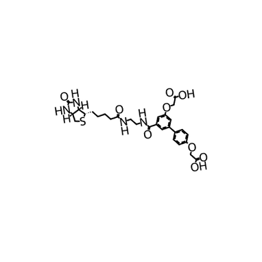 O=C(O)COc1ccc(-c2cc(OCC(=O)O)cc(C(=O)NCCNC(=O)CCCC[C@@H]3SC[C@@H]4NC(=O)N[C@@H]43)c2)cc1